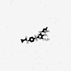 CCOC(=O)c1nc(S(=O)(=O)c2ccc(NC(=O)C3CC3)cc2)nc(Nc2cc(C)[nH]n2)c1N